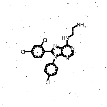 NCCNc1ncnc2c1nc(-c1ccc(Cl)cc1Cl)n2-c1ccc(Cl)cc1